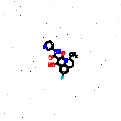 CC1CCc2cc(F)cc3c(O)c(C(=O)Nc4cccnc4)c(=O)n1c23